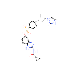 O=C(Nc1nc2cc(OS(=O)(=O)c3ccc([AsH]CCn4ccnc4)cc3)ccc2[nH]1)C1CC1